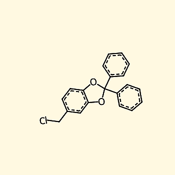 ClCc1ccc2c(c1)OC(c1ccccc1)(c1ccccc1)O2